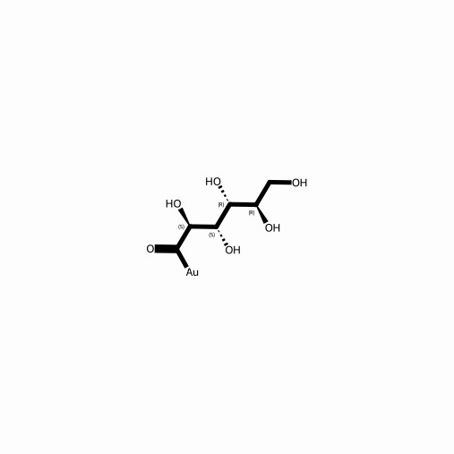 O=[C]([Au])[C@@H](O)[C@@H](O)[C@H](O)[C@H](O)CO